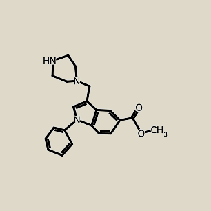 COC(=O)c1ccc2c(c1)c(CN1CCNCC1)cn2-c1ccccc1